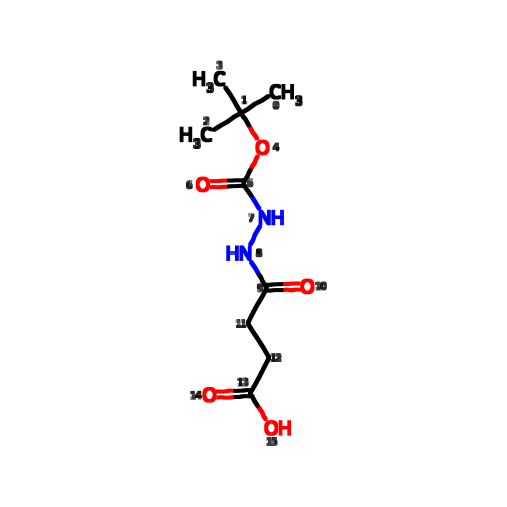 CC(C)(C)OC(=O)NNC(=O)CCC(=O)O